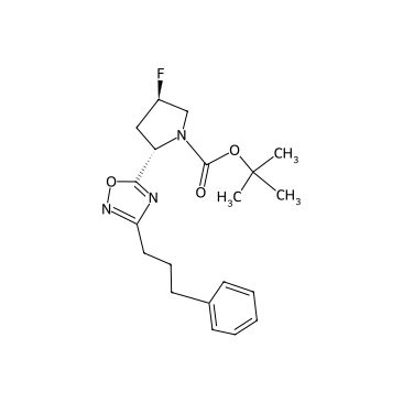 CC(C)(C)OC(=O)N1C[C@H](F)C[C@H]1c1nc(CCCc2ccccc2)no1